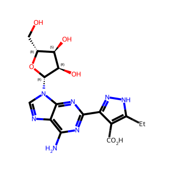 CCc1[nH]nc(-c2nc(N)c3ncn([C@@H]4O[C@H](CO)[C@@H](O)[C@H]4O)c3n2)c1C(=O)O